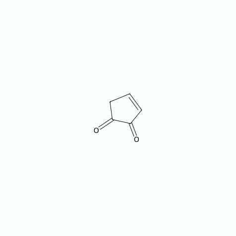 O=C1C=CCC1=O